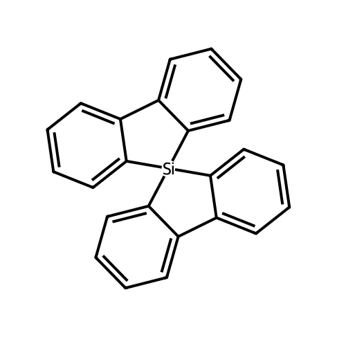 c1ccc2c(c1)-c1ccccc1[Si]21c2ccccc2-c2ccccc21